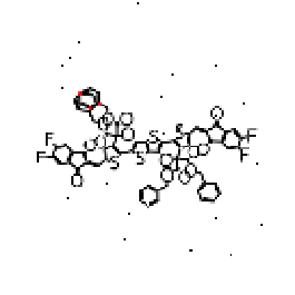 O=C1C(=Cc2cc3c(s2)-c2sc4c5c(sc4c2OC3(C(=O)OCc2ccccc2)C(=O)OCc2ccccc2)-c2sc(C=C3C(=O)c4cc(F)c(F)cc4C3=O)cc2C(C(=O)OCc2ccccc2)(C(=O)OCc2ccccc2)O5)C(=O)c2cc(F)c(F)cc21